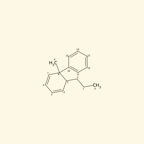 CCCC1C=CC=CC1(C)c1ccccc1